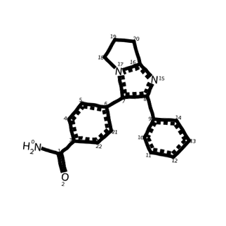 NC(=O)c1ccc(-c2c(-c3ccccc3)nc3n2CCC3)cc1